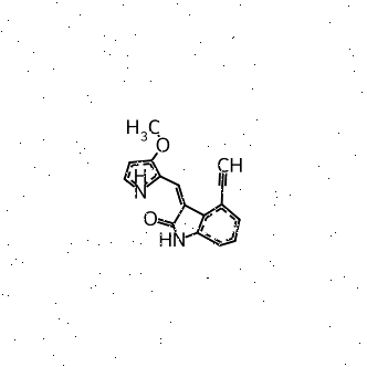 C#Cc1cccc2c1C(=Cc1[nH]ccc1OC)C(=O)N2